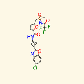 CS(=O)(Cc1ccc(C(=O)NC23CC(c4nc5cc(Cl)ccc5o4)(C2)C3)o1)=NC(=O)C(F)(F)F